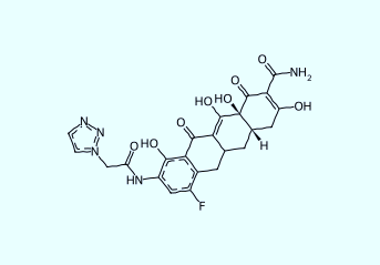 NC(=O)C1=C(O)C[C@@H]2CC3Cc4c(F)cc(NC(=O)Cn5ccnn5)c(O)c4C(=O)C3=C(O)[C@]2(O)C1=O